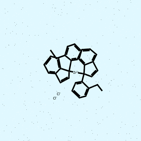 CCc1ccccc1[C]1([Zr+2][C]2(c3ccccc3CC)C=Cc3ccccc32)C=Cc2ccccc21.[Cl-].[Cl-]